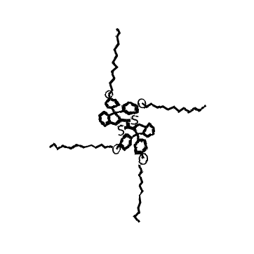 CCCCCCCCCCCCOc1ccc(C2(c3ccc(OCCCCCCCCCCCC)cc3)c3ccccc3-c3sc4c5c(sc4c32)-c2ccccc2C5(c2ccc(OCCCCCCCCCCCC)cc2)c2ccc(OCCCCCCCCCCCC)cc2)cc1